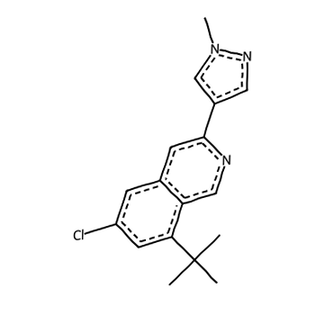 Cn1cc(-c2cc3cc(Cl)cc(C(C)(C)C)c3cn2)cn1